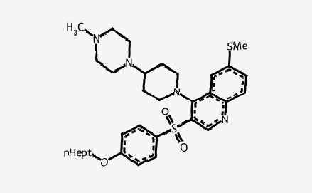 CCCCCCCOc1ccc(S(=O)(=O)c2cnc3ccc(SC)cc3c2N2CCC(N3CCN(C)CC3)CC2)cc1